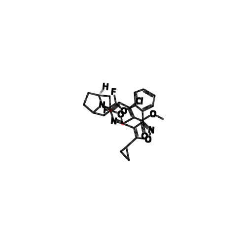 COC(=O)c1cnc(N2C3CC[C@H]2CC(OCc2c(-c4ccccc4OC(F)F)noc2C2CC2)C3)cc1Cl